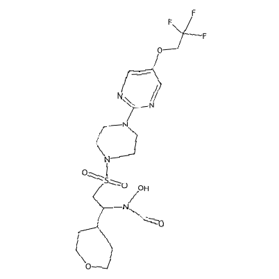 O=CN(O)C(CS(=O)(=O)N1CCN(c2ncc(OCC(F)(F)F)cn2)CC1)C1CCOCC1